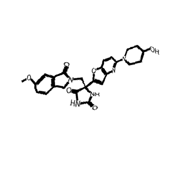 COc1ccc2c(c1)C(=O)N(C[C@@]1(c3cc4nc(N5CCC(O)CC5)ccc4o3)NC(=O)NC1=O)C2